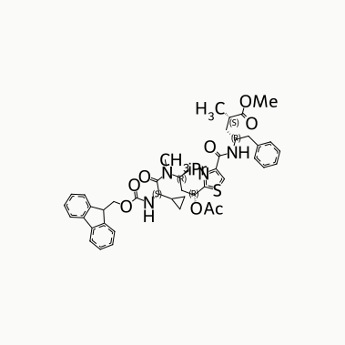 COC(=O)[C@@H](C)C[C@H](Cc1ccccc1)NC(=O)c1csc([C@@H](C[C@H](C(C)C)N(C)C(=O)[C@@H](NC(=O)OCC2c3ccccc3-c3ccccc32)C2CC2)OC(C)=O)n1